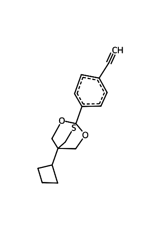 C#Cc1ccc(C23OCC(C4CCC4)(CO2)CS3)cc1